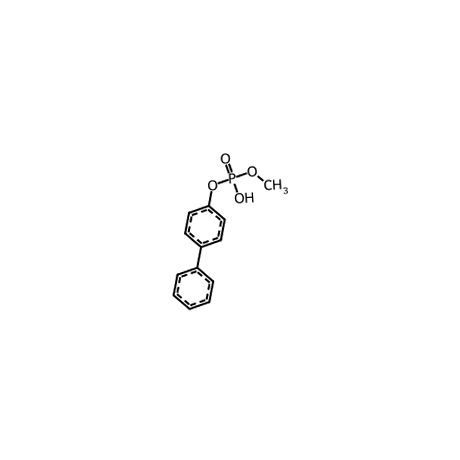 COP(=O)(O)Oc1ccc(-c2ccccc2)cc1